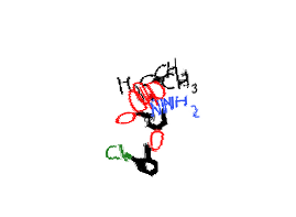 CC(C)(C)OC(=O)N[C@@H](CC(CCN)OCc1ccccc1Cl)C(=O)O